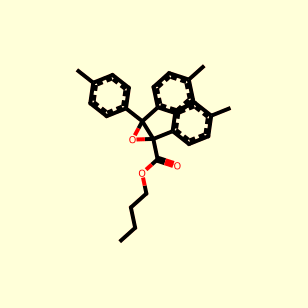 CCCCOC(=O)C1(c2ccc(C)cc2)OC1(c1ccc(C)cc1)c1ccc(C)cc1